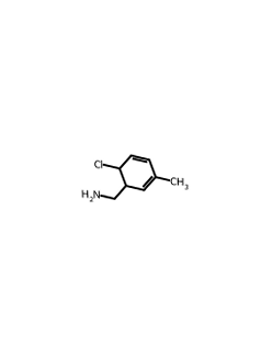 CC1=CC(CN)C(Cl)C=C1